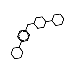 c1cc(C2CCCCC2)ccc1CC1CCC(C2CCCCC2)CC1